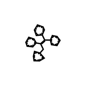 c1ccc(CC(=C(c2ccccc2)c2ccccc2)c2ccccc2)cc1